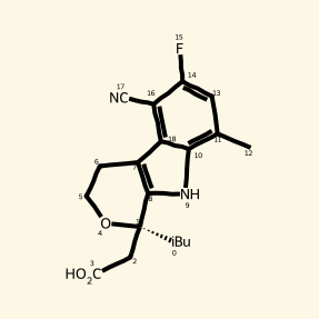 CCC(C)[C@]1(CC(=O)O)OCCc2c1[nH]c1c(C)cc(F)c(C#N)c21